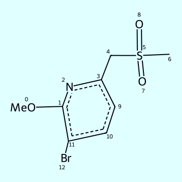 COc1nc(CS(C)(=O)=O)ccc1Br